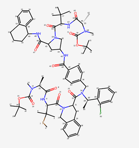 CSC(C)(C)C(NC(=O)[C@H](C)N(C)C(=O)OC(C)(C)C)C(=O)N1Cc2ccccc2CC1C(=O)N(Cc1ccc(C(=O)NC2CC(C(=O)NC3CCCc4ccccc43)N(C(=O)C(NC(=O)[C@H](C)N(C)C(=O)OC(C)(C)C)C(C)(C)C)C2)cc1)[C@H](C)c1ccccc1F